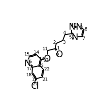 O=C(CCCc1nccnn1)COc1ccnc2cc(Cl)ccc12